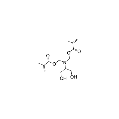 C=C(C)C(=O)OCN(COC(=O)C(=C)C)C(CO)CO